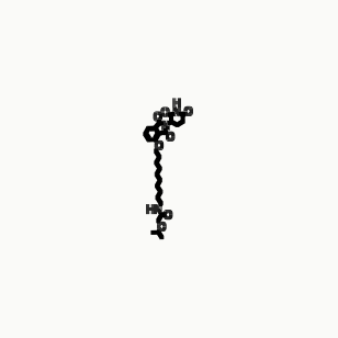 CC(C)OCC(=O)NCCCCCCCCCCOc1cccc2c1C(=O)N(C1CCC(=O)NC1=O)C2=O